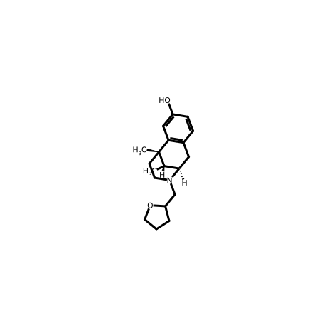 C[C@H]1[C@H]2Cc3ccc(O)cc3[C@@]1(C)CCN2CC1CCCO1